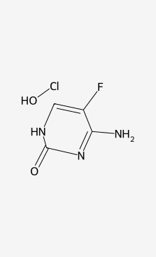 Nc1nc(=O)[nH]cc1F.OCl